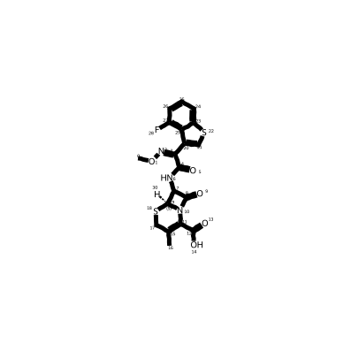 CON=C(C(=O)NC1C(=O)N2C(C(=O)O)=C(C)CS[C@@H]12)c1csc2cccc(F)c12